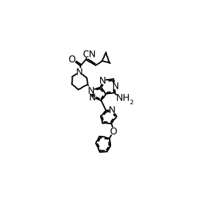 N#CC(=CC1CC1)C(=O)N1CCC[C@@H](n2nc(-c3ccc(Oc4ccccc4)cn3)c3c(N)ncnc32)C1